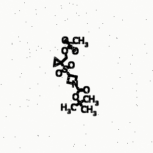 CC(C)(C)OC(=O)N1CC(S(=O)(=O)C2(COS(C)(=O)=O)CC2)C1